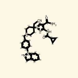 N#CCC1(n2cc(C(N)=O)c(NC(=O)C3CC3)n2)CCN(Cc2ccc(-n3ncc4ccccc43)cc2)CC1